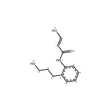 O=C(C=CO)Nc1ccccc1CCCO